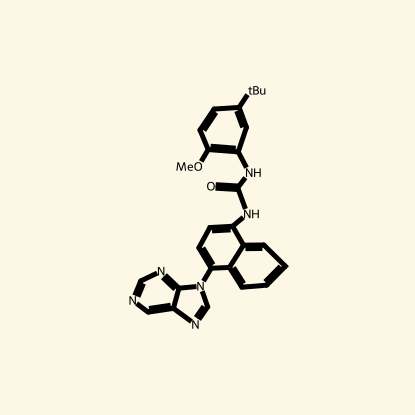 COc1ccc(C(C)(C)C)cc1NC(=O)Nc1ccc(-n2cnc3cncnc32)c2ccccc12